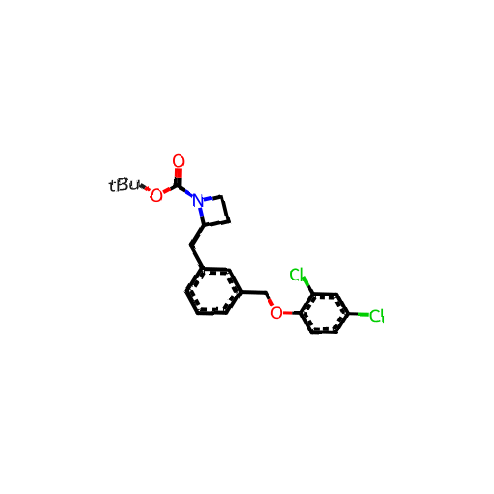 CC(C)(C)OC(=O)N1CCC1Cc1cccc(COc2ccc(Cl)cc2Cl)c1